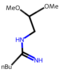 CCCCC(=N)NCC(OC)OC